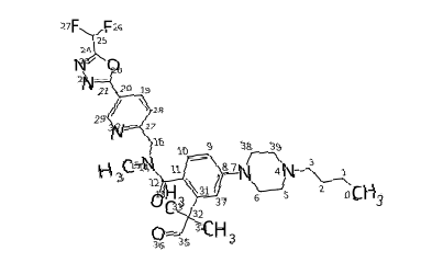 CCCCN1CCN(c2ccc(C(=O)N(C)Cc3ccc(-c4nnc(C(F)F)o4)cn3)c(C(C)(C)C=O)c2)CC1